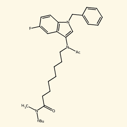 CCCCN(C)C(=O)CCCCCCCN(C(C)=O)c1cn(Cc2ccccc2)c2ccc(F)cc12